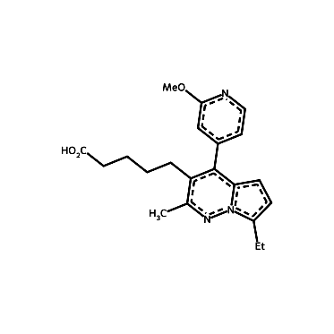 CCc1ccc2c(-c3ccnc(OC)c3)c(CCCCC(=O)O)c(C)nn12